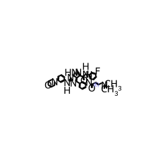 CN(C)C/C=C/C(=O)Nc1cccc(-c2nc(Nc3cccc(N4CCOCC4)c3)nc3[nH]nc(C(=O)Nc4cccc(F)c4)c23)c1